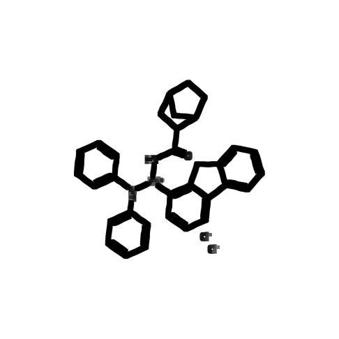 O=C([NH][Zr+2]([c]1cccc2c1Cc1ccccc1-2)[SiH](c1ccccc1)c1ccccc1)C1CC2CCC1C2.[Cl-].[Cl-]